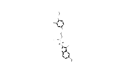 CCCN(CCOc1ccc(OCC(=O)O)c(C)c1)S(=O)(=O)c1sc2ccc(CI)cc2c1C